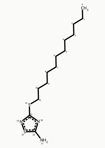 CCCCCCCCCCCCSc1nsc(N)n1